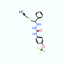 C#CCSCC(NNC(=O)Nc1ccc(OC(F)(F)F)cc1)c1ccccc1